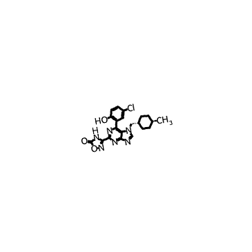 C[C@H]1CC[C@H](Cn2cnc3nc(-c4noc(=O)[nH]4)nc(-c4cc(Cl)ccc4O)c32)CC1